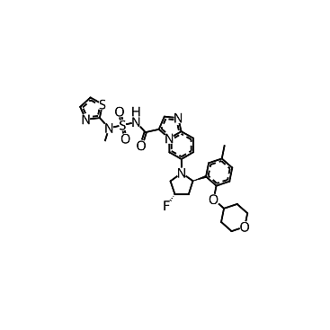 Cc1ccc(OC2CCOCC2)c([C@H]2C[C@H](F)CN2c2ccc3ncc(C(=O)NS(=O)(=O)N(C)c4nccs4)n3c2)c1